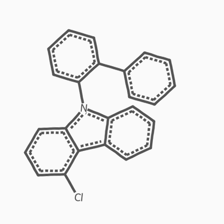 Clc1cccc2c1c1ccccc1n2-c1ccccc1-c1ccccc1